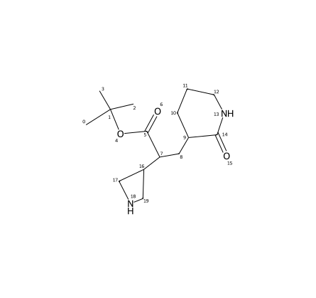 CC(C)(C)OC(=O)C(CC1CCCNC1=O)C1CNC1